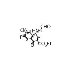 CCOC(=O)c1cn(NCC=O)c2cc(Cl)c(F)cc2c1=O